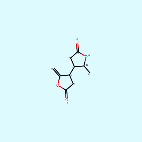 C=C1OC(=O)CC1C1CC(=O)OC1C